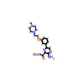 CNC(=O)c1nc(-c2cccc(OCCN3CCN(C)CC3)c2)cnc1N